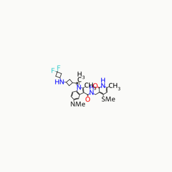 CNc1ccc2c(c1)c(C(=O)NCc1c(SC)cc(C)[nH]c1=O)c(C)n2[C@H](C)C1CC(NC2CC(F)(F)C2)C1